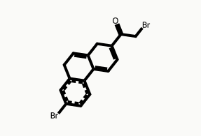 O=C(CBr)C1=CC=C2C(=CCc3cc(Br)ccc32)C1